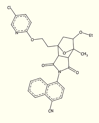 CCOC1CC2(CCOc3ccc(Cl)cn3)OC1(C)C1C(=O)N(c3ccc(C#N)c4ccccc34)C(=O)C12